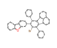 Brc1c(-c2ccc3c(c2)oc2ccccc23)c(-c2ccccc2)c2c(c1-c1ccccc1)-c1cccc3cccc-2c13